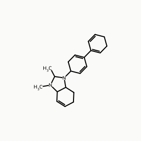 CC1N(C)C2C=CCCC2N1C1C=CC(C2=CCCC=C2)=CC1